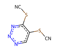 N#CSc1cnnnc1SC#N